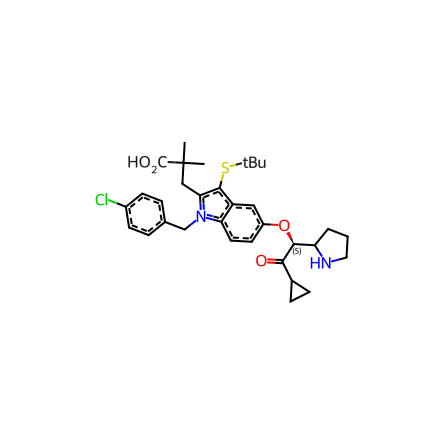 CC(C)(C)Sc1c(CC(C)(C)C(=O)O)n(Cc2ccc(Cl)cc2)c2ccc(O[C@H](C(=O)C3CC3)C3CCCN3)cc12